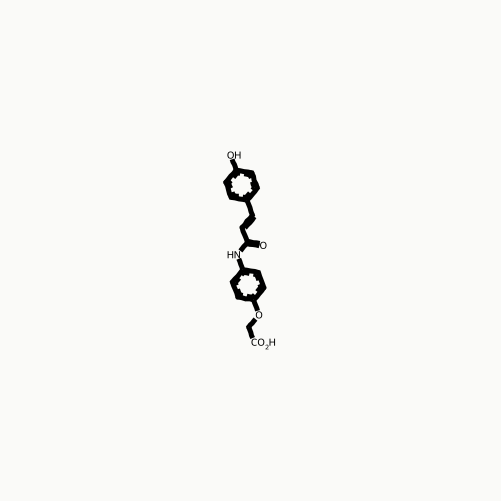 O=C(O)COc1ccc(NC(=O)C=Cc2ccc(O)cc2)cc1